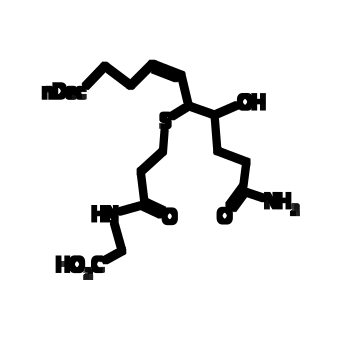 CCCCCCCCCCCC/C=C\C(SCCC(=O)NCC(=O)O)C(O)CCC(N)=O